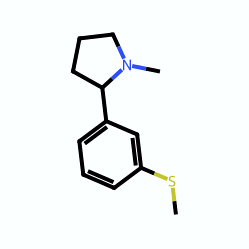 CSc1cccc(C2CCCN2C)c1